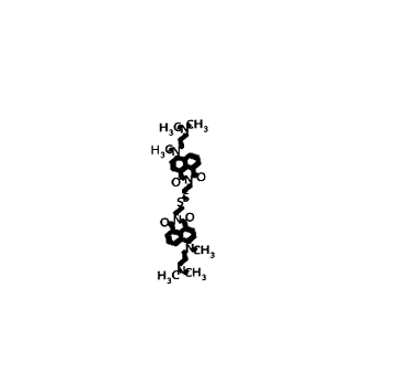 CN(C)CCCN(C)c1ccc2c3c(cccc13)C(=O)N(CCSSCCN1C(=O)C3=CC=CC4C3=C(C=CC4N(C)CCCN(C)C)C1=O)C2=O